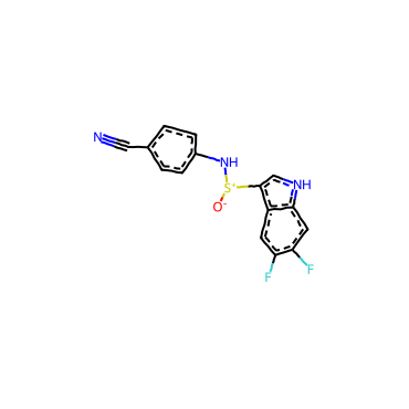 N#Cc1ccc(N[S+]([O-])c2c[nH]c3cc(F)c(F)cc23)cc1